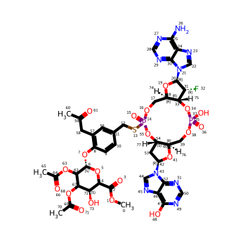 COC(=O)C1O[C@@H](Oc2ccc(CSP3(=O)OC[C@H]4O[C@@H](n5cnc6c(N)ncnc65)[C@H](F)[C@@H]4OP(=O)(O)OC[C@H]4O[C@@H](n5cnc6c(O)ncnc65)C[C@@H]4O3)cc2CC(C)=O)C(OC(C)=O)C(OC(C)=O)[C@@H]1O